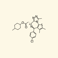 Cc1sc2c(c1C)C(c1ccc(Cl)cc1)=N[C@H](CC(=O)OC1CCC(C)CC1)c1nnc(C)n1-2